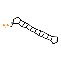 PC[C@H]1CCC2C3C4C5C6C7C8C9C%10C=CCC%10C9C8C7C6C5C4C3C21